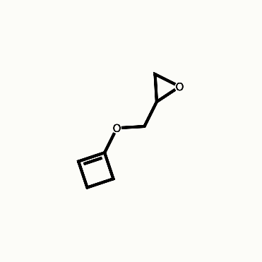 C1=C(OCC2CO2)CC1